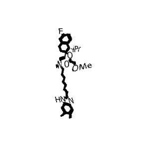 COCC(=O)O[C@]1(CCN(C)CCCCCCCc2nc3cc(C)c(C)cc3[nH]2)CCc2cc(F)ccc2[C@@H]1C(C)C